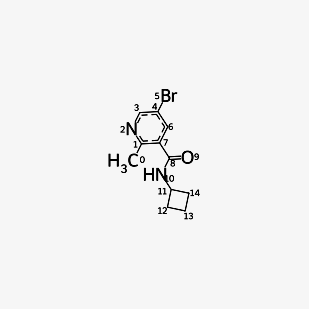 Cc1ncc(Br)cc1C(=O)NC1CCC1